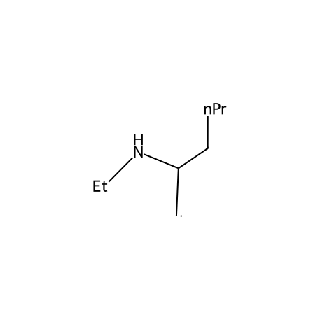 [CH2]C(CCCC)NCC